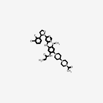 C=CC(=O)Nc1cc(Nc2cc(N3OCCC3c3cccc(Cl)c3F)ncn2)c(OC)cc1N1CCC(N2CCN(C(C)=O)CC2)CC1